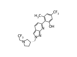 Cc1cc(C(F)(F)F)cc(O)c1-c1ccc2cn(C[C@@H]3CCN(CC(F)(F)F)C3)nc2n1